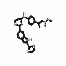 C=NN/C=C(\C)c1ccc(Nc2ccnc(-c3ccc4cc(-c5nccs5)[nH]c4c3)n2)cc1